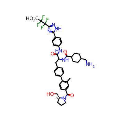 Cc1cc(C(=O)N2CCC[C@H]2CO)ccc1-c1ccc(CC(NC(=O)C2CCC(CN)CC2)C(=O)Nc2ccc(-c3nc(C(F)(F)C(F)(F)C(=O)O)n[nH]3)cc2)cc1